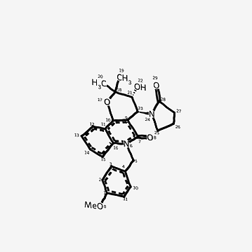 COc1ccc(Cn2c(=O)c3c(c4ccccc42)OC(C)(C)[C@H](O)[C@H]3N2CCCC2=O)cc1